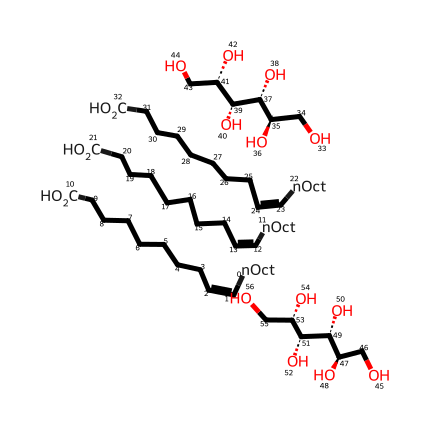 CCCCCCCC/C=C\CCCCCCCC(=O)O.CCCCCCCC/C=C\CCCCCCCC(=O)O.CCCCCCCC/C=C\CCCCCCCC(=O)O.OC[C@@H](O)[C@@H](O)[C@H](O)[C@@H](O)CO.OC[C@@H](O)[C@@H](O)[C@H](O)[C@@H](O)CO